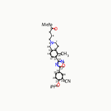 CNC(=O)CCCN1CCc2c(ccc(-c3noc(-c4ccc(OC(C)C)c(C#N)c4)n3)c2C)C1